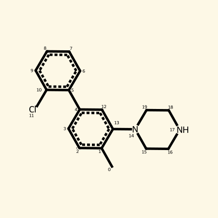 Cc1[c]cc(-c2ccccc2Cl)cc1N1CCNCC1